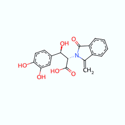 C=C1c2ccccc2C(=O)N1[C@H](C(=O)O)[C@H](O)c1ccc(O)c(O)c1